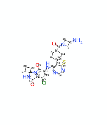 NC1CN(C(=O)[C@H]2CCc3c(sc4ncnc(Nc5cc(Cl)c6n(c5=O)C5(CCC5)NC6=O)c34)C2)C1